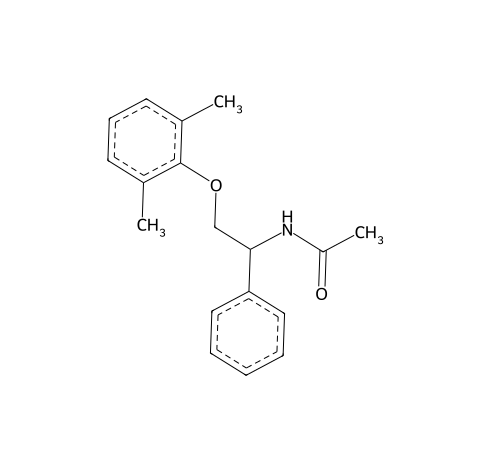 CC(=O)NC(COc1c(C)cccc1C)c1ccccc1